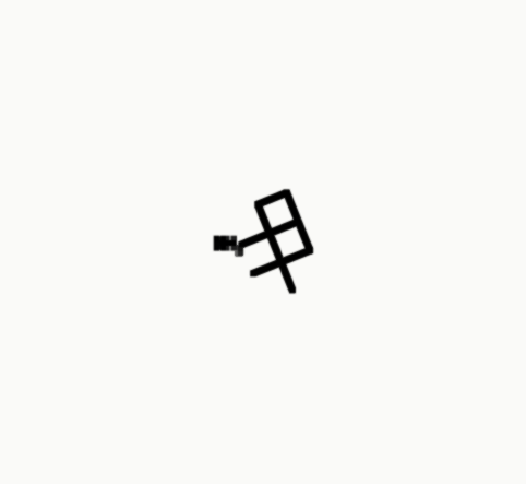 CC1(C)CC2CCC21C.N